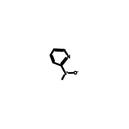 C[S+]([O-])c1ccc[c]n1